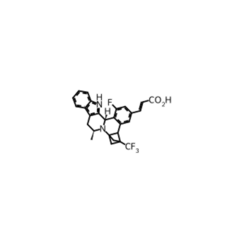 C[C@H]1Cc2c([nH]c3ccccc23)[C@@H]2c3c(F)cc(/C=C/C(=O)O)cc3C3C4(CC3(C(F)(F)F)C4)N21